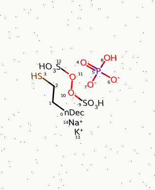 CCCCCCCCCCCCS.O=P([O-])([O-])O.O=S(=O)(O)OOS(=O)(=O)O.[K+].[Na+]